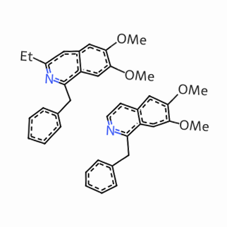 CCc1cc2cc(OC)c(OC)cc2c(Cc2ccccc2)n1.COc1cc2ccnc(Cc3ccccc3)c2cc1OC